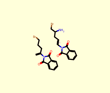 C=C(CCCBr)N1C(=O)c2ccccc2C1=O.NC(CBr)C/C=C/N1C(=O)c2ccccc2C1=O